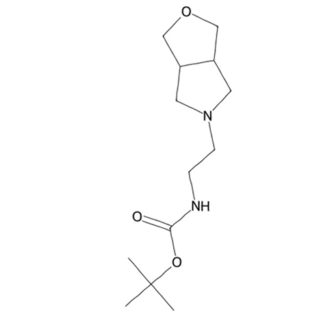 CC(C)(C)OC(=O)NCCN1CC2COCC2C1